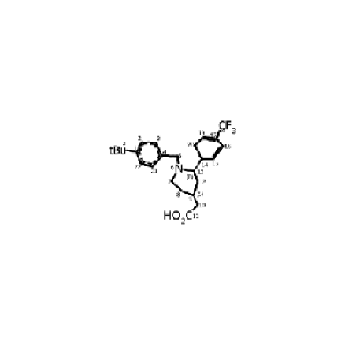 CC(C)(C)c1ccc(CN2CC[C@H](CC(=O)O)C[C@@H]2C2C=CC(C(F)(F)F)=CC2)cc1